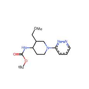 COCC1CN(c2cccnn2)CCC1NC(=O)OC(C)(C)C